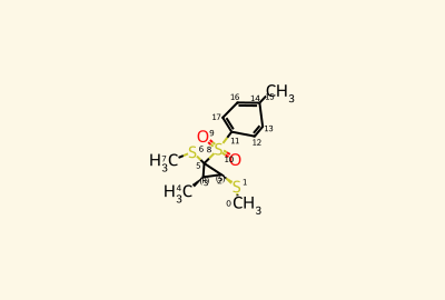 CS[C@H]1[C@@H](C)C1(SC)S(=O)(=O)c1ccc(C)cc1